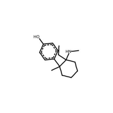 CCC1(NC)CCCCC1(C)c1ccc(O)cc1